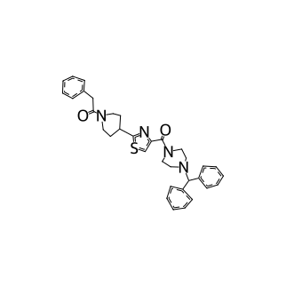 O=C(Cc1ccccc1)N1CCC(c2nc(C(=O)N3CCN(C(c4ccccc4)c4ccccc4)CC3)cs2)CC1